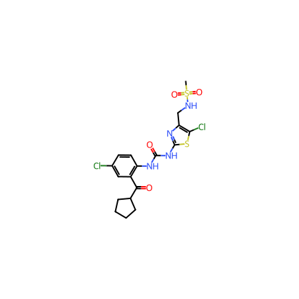 CS(=O)(=O)NCc1nc(NC(=O)Nc2ccc(Cl)cc2C(=O)C2CCCC2)sc1Cl